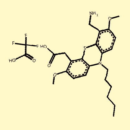 CCCCCCN1c2ccc(OC)c(CN)c2Sc2c1ccc(OC)c2CC(=O)O.O=C(O)C(F)(F)F